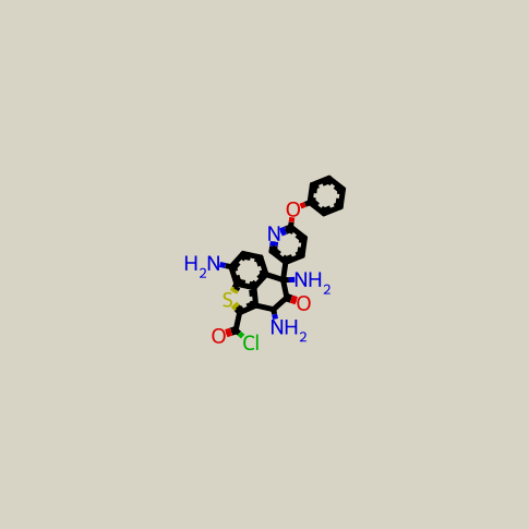 Nc1ccc2c3c(c(C(=O)Cl)sc13)C(N)C(=O)C2(N)c1ccc(Oc2ccccc2)nc1